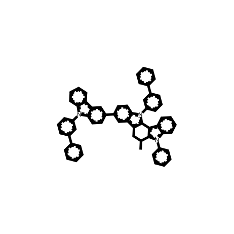 CC1Cc2c(n(-c3cccc(-c4ccccc4)c3)c3ccc(-c4ccc5c(c4)c4ccccc4n5-c4cccc(-c5ccccc5)c4)cc23)-c2c1n(-c1ccccc1)c1ccccc21